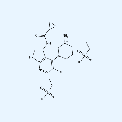 CCS(=O)(=O)O.CCS(=O)(=O)O.N[C@@H]1CCCN(c2c(Br)cnc3[nH]cc(NC(=O)C4CC4)c23)C1